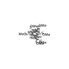 COCCNP1(NCCOC)=NP(NCCOC)(NCCOC)=NP(NCCOC)(NCCOC)=N1